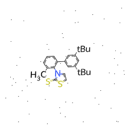 Cc1cccc(-c2cc(C(C)(C)C)cc(C(C)(C)C)c2)c1-n1ccsc1=S